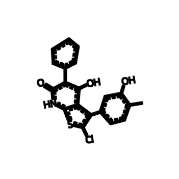 Cc1ccc(-c2c(Cl)sc3[nH]c(=O)c(-c4ccccc4)c(O)c23)cc1O